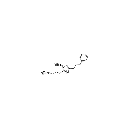 CCCCCCCCCCCCCc1nc(CCCc2ccccc2)cn1CCCC